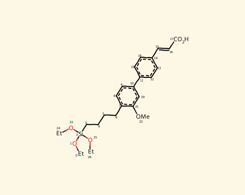 CCO[Si](CCCCc1ccc(-c2ccc(C=CC(=O)O)cc2)cc1OC)(OCC)OCC